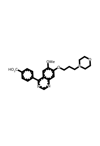 COc1cc2c(-c3ccc(C(=O)O)cc3)ncnc2cc1OCCCN1CCOCC1